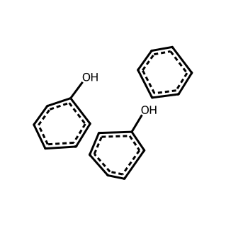 Oc1ccccc1.Oc1ccccc1.c1ccccc1